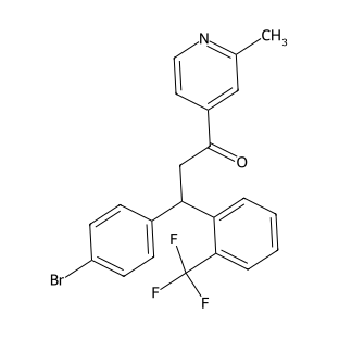 Cc1cc(C(=O)CC(c2ccc(Br)cc2)c2ccccc2C(F)(F)F)ccn1